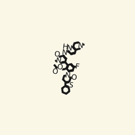 CC(=O)OCc1c(-c2cc(Nc3ccc4c(n3)CCN(C)C4)c(=O)n(C)c2)cc(F)cc1N1CCc2c(sc3c2CCCC3)C1=O